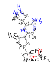 CC(=O)NCC(OC(=O)C(F)(F)F)(c1ccc(C)c(-c2cnc(N)c(-c3cn[nH]c3)n2)c1)C(F)(F)F